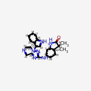 CC1(C)C(=O)Nc2cc(NC3=N[N+]4(c5c[nH]c6ccccc56)C=CN=CC4=N3)ccc21